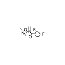 Cc1nnc(NC(=O)c2ccc(F)cc2F)o1